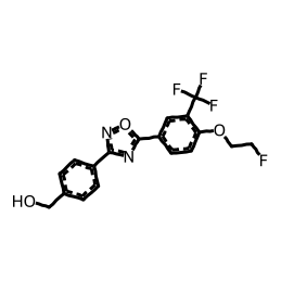 OCc1ccc(-c2noc(-c3ccc(OCCF)c(C(F)(F)F)c3)n2)cc1